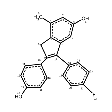 Cc1cc(O)cc2c1CC(c1ccc(O)cc1)=C2c1ccc(F)cc1